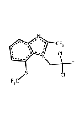 FC(F)(F)Sc1cccc2nc(C(F)(F)F)n(SC(F)(Cl)Cl)c12